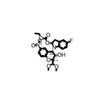 CCOC(=O)O[C@H]1Cc2cc(F)ccc2N1[C@H]1c2cc([N+](=O)[O-])ccc2O[C@](C)(C(OC)OC)[C@@H]1O